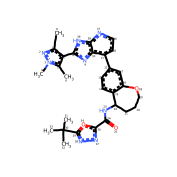 Cc1nn(C)c(C)c1-c1nc2c(-c3ccc4c(c3)OCCCC4NC(=O)c3nnc(C(C)(C)C)o3)ccnc2[nH]1